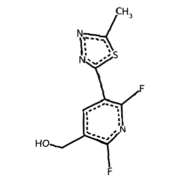 Cc1nnc(-c2cc(CO)c(F)nc2F)s1